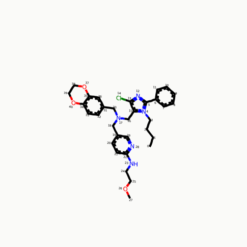 CCCCn1c(-c2ccccc2)nc(Cl)c1CN(Cc1ccc(NCCOC)nc1)Cc1ccc2c(c1)OCCO2